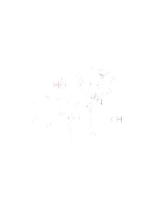 CC(c1ccccc1)N1CC2CCC1C2OC(=O)C(O)(c1ccccc1)c1ccccc1